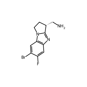 NC[C@H]1CCn2c1nc1cc(F)c(Br)cc12